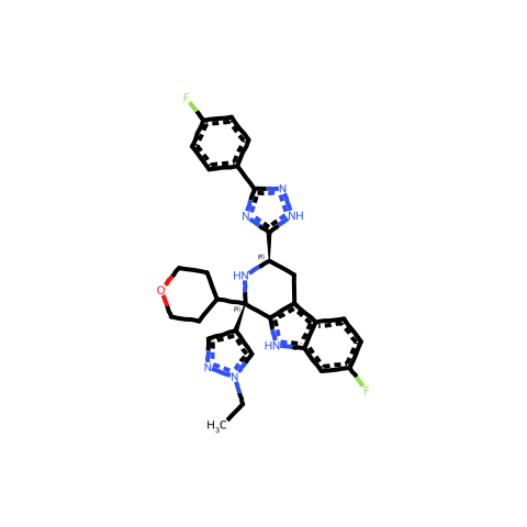 CCn1cc([C@@]2(C3CCOCC3)N[C@@H](c3nc(-c4ccc(F)cc4)n[nH]3)Cc3c2[nH]c2cc(F)ccc32)cn1